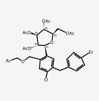 CCc1ccc(Cc2cc([C@@H]3O[C@H](COC(C)=O)[C@@H](OC(C)=O)[C@H](OC(C)=O)[C@H]3OC(C)=O)c(COCC(C)=O)cc2Cl)cc1